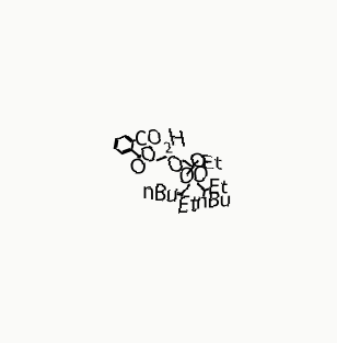 CCCCC(CC)COC(COCCOC(=O)c1ccccc1C(=O)O)(OCC)OCC(CC)CCCC